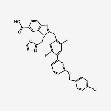 O=C(O)c1ccc2nc(Cc3cc(F)c(-c4cccc(OCc5ccc(Cl)cc5)n4)cc3F)n(Cc3ncco3)c2c1